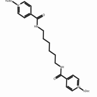 CCCCCCCCCC[n+]1ccc(C(=O)NCCCCCCNC(=O)c2cc[n+](CCCCCCCCCC)cc2)cc1